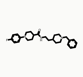 O=C(NCCC1CCN(Cc2ccccc2)CC1)C1CCN(c2ccc(F)cc2)CC1